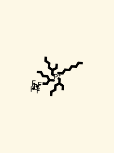 CCCCCCCC[P+](CC(CC)CCCC)(CC(CC)CCCC)CC(CC)CCCC.F[B-](F)(F)F